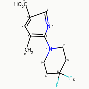 Cc1cc(C(=O)O)cnc1N1CCC(F)(F)CC1